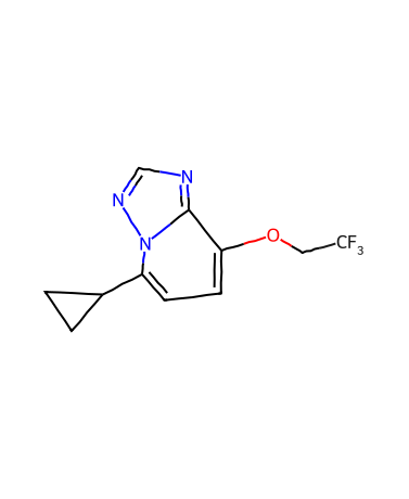 FC(F)(F)COc1ccc(C2CC2)n2ncnc12